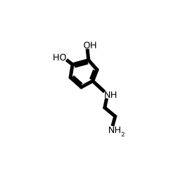 NCCNc1ccc(O)c(O)c1